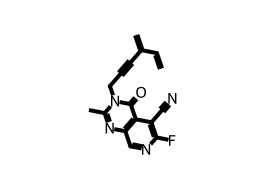 C=CC(=C)C#CCn1c(C)nc2cnc(F)c(C#N)c2c1=O